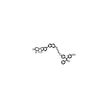 CC/C(=C(\c1ccc(O)cc1)c1ccc(OCCCCCc2ccc3ccc(-c4ccc5c(c4)CN(C4CCC(=O)NC4=O)C5=O)cc3c2)cc1)c1ccccc1